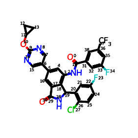 O=C(Nc1cc(-c2cnc(OC3CC3)nc2)cc2c1C(c1cc(F)ccc1Cl)NC2=O)c1cc(F)cc(C(F)(F)F)c1